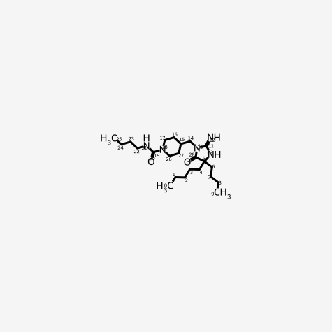 CCCCCC1(CCCC)NC(=N)N(CC2CCN(C(=O)NCCCC)CC2)C1=O